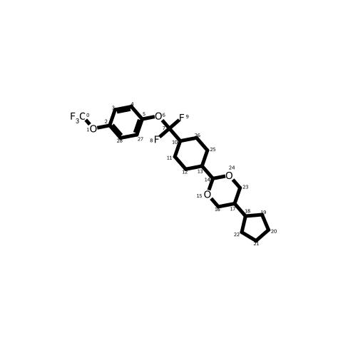 FC(F)(F)Oc1ccc(OC(F)(F)C2CCC(C3OCC(C4CCCC4)CO3)CC2)cc1